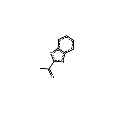 CC(=O)c1nc2ccccc2o1